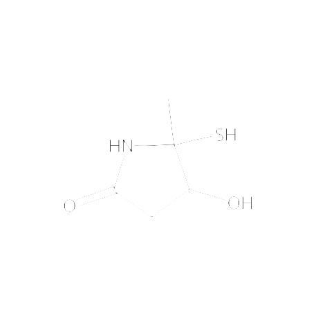 CC1(S)NC(=O)CC1O